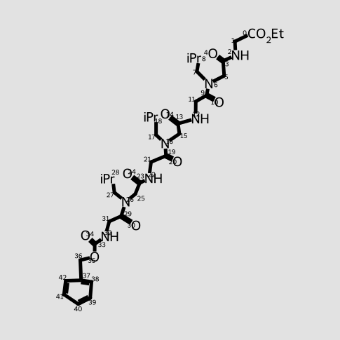 CCOC(=O)CNC(=O)CN(CC(C)C)C(=O)CNC(=O)CN(CC(C)C)C(=O)CNC(=O)CN(CC(C)C)C(=O)CNC(=O)OCc1ccccc1